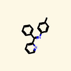 Cc1ccc(/N=C(\c2ccccc2)c2ccccn2)cc1